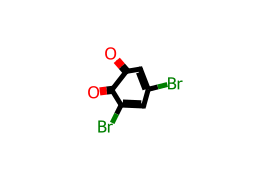 O=C1C=C(Br)C=C(Br)C1=O